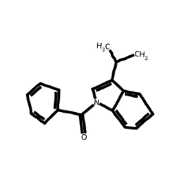 CC(C)c1cn(C(=O)c2ccccc2)c2ccccc12